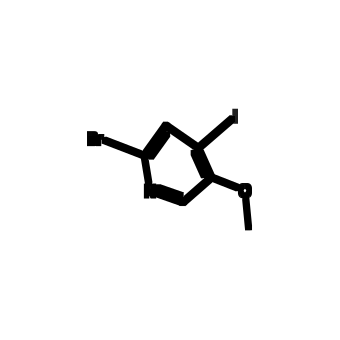 COc1cnc(Br)cc1I